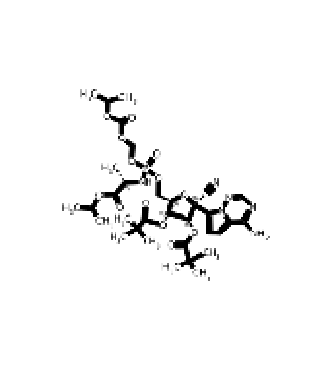 CC(C)OC(=O)OCOP(=O)(N[C@@H](C)C(=O)OC(C)C)OC[C@H]1O[C@@](C#N)(c2ccc3c(N)ncnn23)[C@H](OC(=O)C(C)(C)C)[C@@H]1OC(=O)C(C)(C)C